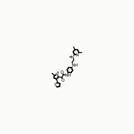 Cc1cc(C)nc(N(C)CCNc2ccc(NC(=O)C(=O)c3c(-c4cccs4)cc(C)n3C)cc2)c1